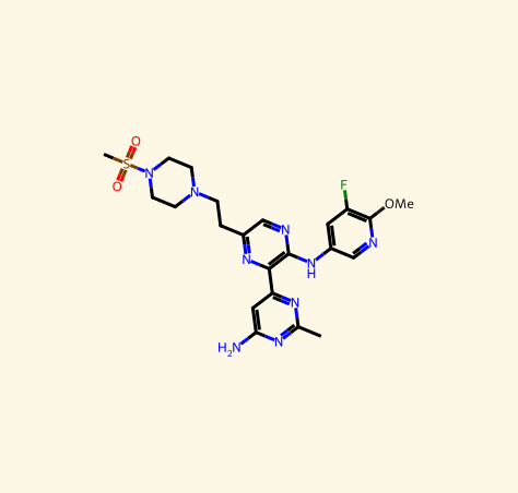 COc1ncc(Nc2ncc(CCN3CCN(S(C)(=O)=O)CC3)nc2-c2cc(N)nc(C)n2)cc1F